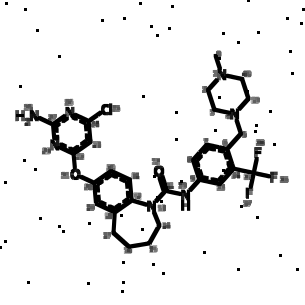 CN1CCN(Cc2ccc(NC(=O)N3CCCCc4cc(Oc5cc(Cl)nc(N)n5)ccc43)cc2C(F)(F)F)CC1